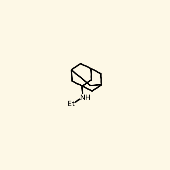 CCNC12CC3CC(CC(C3)C1)C2